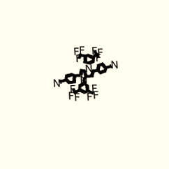 N#Cc1ccc(-c2cc3c(cc(-c4ccc(C#N)cc4)n3-c3cc(C(F)(F)F)cc(C(F)(F)F)c3)n2-c2cc(C(F)(F)F)cc(C(F)(F)F)c2)cc1